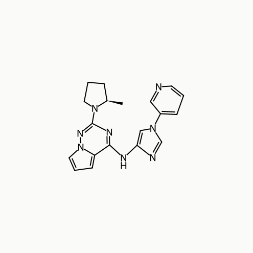 C[C@@H]1CCCN1c1nc(Nc2cn(-c3cccnc3)cn2)c2cccn2n1